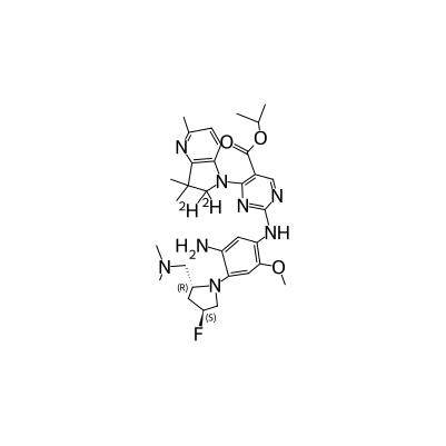 [2H]C1([2H])N(c2nc(Nc3cc(N)c(N4C[C@@H](F)C[C@@H]4CN(C)C)cc3OC)ncc2C(=O)OC(C)C)c2ccc(C)nc2C1(C)C